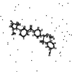 Cc1nc(C(C)C)c(-c2ccnc(Nc3ccc(C(=O)Nc4cc(F)ccc4N)cc3)n2)[nH]1